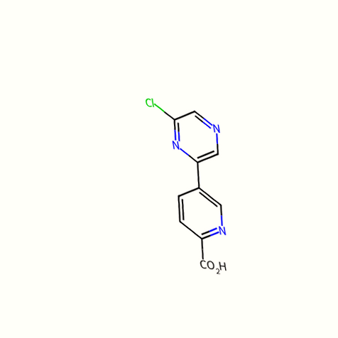 O=C(O)c1ccc(-c2cncc(Cl)n2)cn1